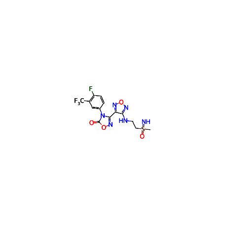 CS(=N)(=O)CCNc1nonc1-c1noc(=O)n1-c1ccc(F)c(C(F)(F)F)c1